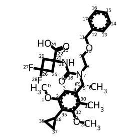 COc1cc([C@@H](C)N(CCOCc2ccccc2)C(=O)NC2(C(=O)O)CC(F)(F)C2)c(C)c(OC)c1C1CC1